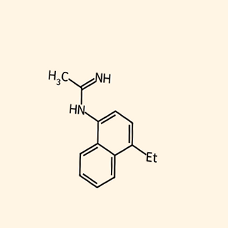 CCc1ccc(NC(C)=N)c2ccccc12